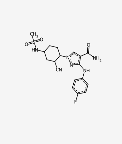 CS(=O)(=O)NC1CCC(n2cc(C(N)=O)c(Nc3ccc(F)cc3)n2)C(C#N)C1